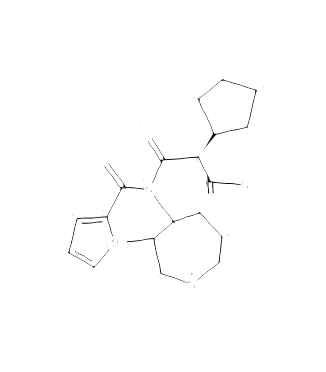 NC(=O)[C@@H](C(=O)N(C(=O)c1ccco1)C1CCCNCC1O)C1CCCC1